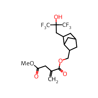 C=C(CC(=O)OC)C(=O)OCC1CC2CC(CC(O)(C(F)(F)F)C(F)(F)F)C1C2